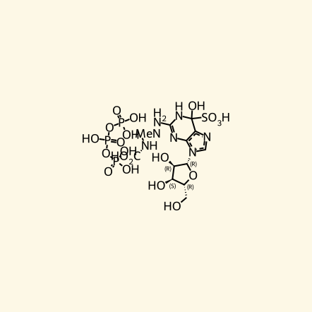 CNNC(=O)O.NC1=Nc2c(ncn2[C@@H]2O[C@H](CO)[C@@H](O)[C@H]2O)C(O)(S(=O)(=O)O)N1.O=P(O)(O)OP(=O)(O)OP(=O)(O)O